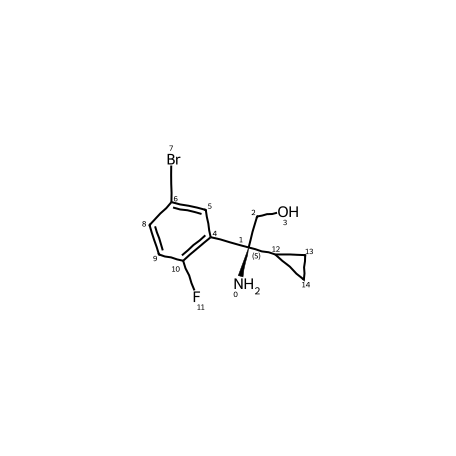 N[C@](CO)(c1cc(Br)ccc1F)C1CC1